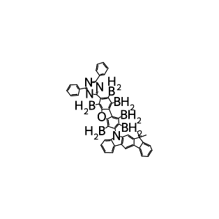 Bc1c(-c2nc(-c3ccccc3)nc(-c3ccccc3)n2)c(B)c2oc3c(B)c(-n4c5ccccc5c5cc6c(cc54)C(C)(C)c4ccccc4-6)c(B)c(B)c3c2c1B